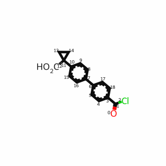 O=C(Cl)c1ccc(-c2ccc(C3(C(=O)O)CC3)cc2)cc1